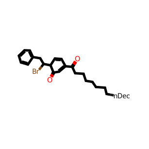 CCCCCCCCCCCCCCCCCC(=O)C1=CC(=O)C(C(Br)Cc2ccccc2)C=C1